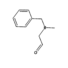 CB(CC=O)Cc1ccccc1